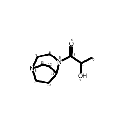 CC(O)C(=O)N1CCN2CCC1CC2